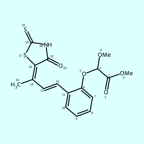 COC(=O)C(OC)Oc1ccccc1C=CC(C)=C1SC(=S)NC1=O